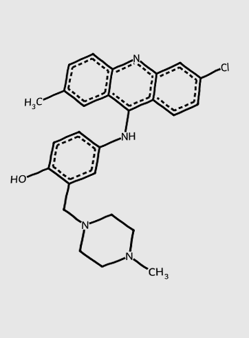 Cc1ccc2nc3cc(Cl)ccc3c(Nc3ccc(O)c(CN4CCN(C)CC4)c3)c2c1